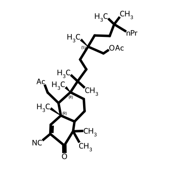 CCCC(C)(C)CC[C@@](C)(CCC(C)(C)[C@]1(C)CCC2C(C)(C)C(=O)C(C#N)=C[C@]2(C)C1CC(C)=O)COC(C)=O